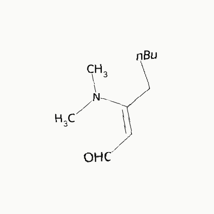 CCCCCC(=CC=O)N(C)C